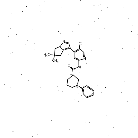 CC1(C)Cc2c(-c3cc(NC(=O)[C@@H]4CCC[C@H](c5cccnc5)C4)ncc3Cl)cnn2C1